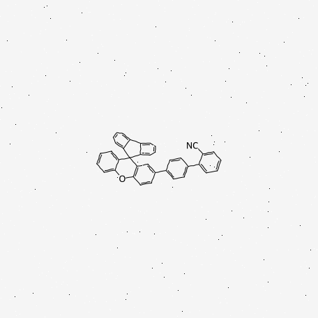 N#Cc1ccccc1-c1ccc(-c2ccc3c(c2)C2(c4ccccc4O3)c3ccccc3-c3ccccc32)cc1